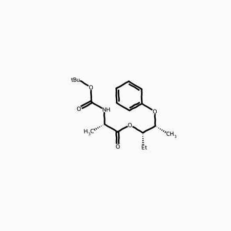 CC[C@H](OC(=O)[C@H](C)NC(=O)OC(C)(C)C)[C@@H](C)Oc1ccccc1